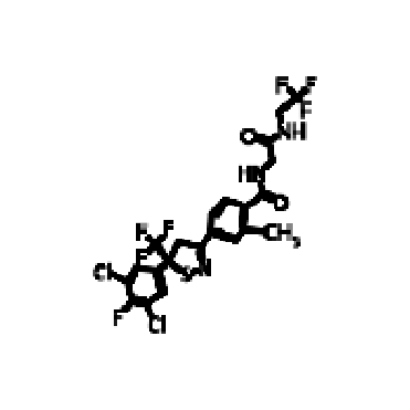 Cc1cc(C2=NSC(c3cc(Cl)c(F)c(Cl)c3)(C(F)(F)F)C2)ccc1C(=O)NCC(=O)NCC(F)(F)F